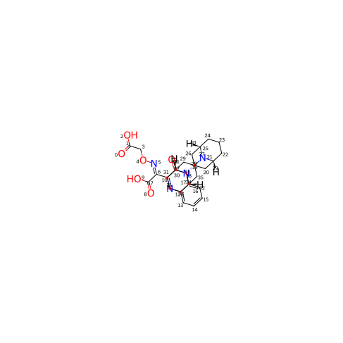 O=C(O)CO/N=C(\C(=O)O)c1nc2ccccc2n([C@H]2C[C@H]3CCC[C@@H](C2)N3C2C[C@H]3CCC[C@@H](C2)C3)c1=O